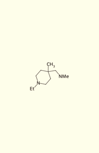 CCN1CCC(C)(CNC)CC1